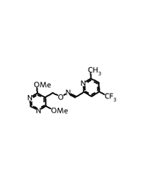 COc1ncnc(OC)c1CON=Cc1cc(C(F)(F)F)cc(C)n1